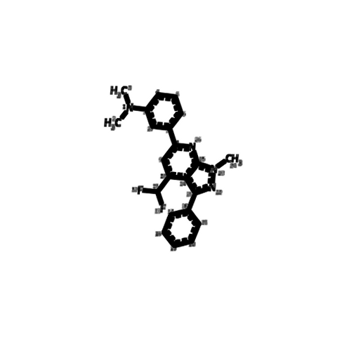 CN(C)c1cccc(-c2cc(C(F)F)c3c(-c4ccccc4)nn(C)c3n2)c1